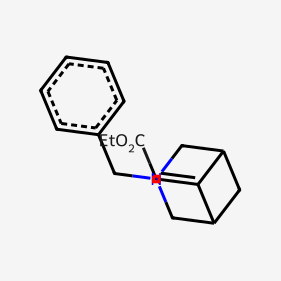 CCOC(=O)C=C1C2CC1CN(Cc1ccccc1)C2